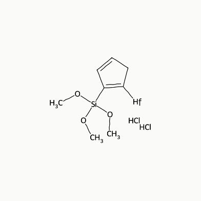 CO[Si](OC)(OC)C1=[C]([Hf])CC=C1.Cl.Cl